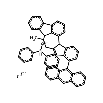 CCCC1=Cc2c(-c3c4ccccc4cc4ccccc34)cccc2C1c1cccc2c1[CH]([Zr+2][SiH](c1ccccc1)c1ccccc1)c1ccccc1-2.[Cl-].[Cl-]